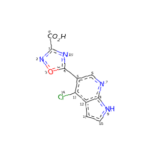 O=C(O)c1noc(-c2cnc3[nH]ccc3c2Cl)n1